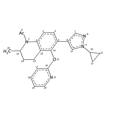 CC(=O)N1c2ccc(-c3cnn(C4CC4)c3)c(Oc3ccccn3)c2CCC1C